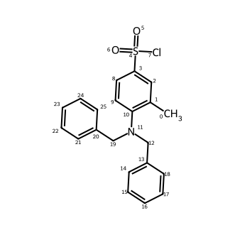 Cc1cc(S(=O)(=O)Cl)ccc1N(Cc1ccccc1)Cc1ccccc1